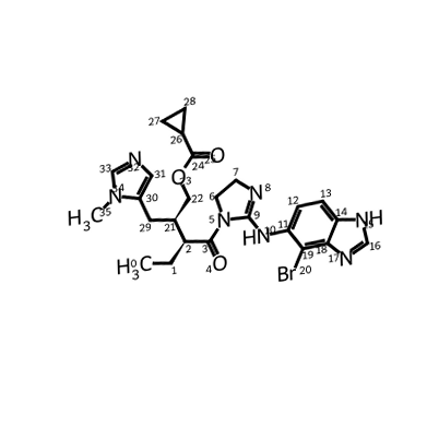 CC[C@H](C(=O)N1CCN=C1Nc1ccc2[nH]cnc2c1Br)[C@H](COC(=O)C1CC1)Cc1cncn1C